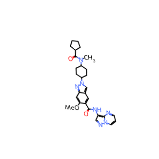 COc1cc2nn(C3CCC(N(C)C(=O)C4CCCC4)CC3)cc2cc1C(=O)Nc1cnn2cccnc12